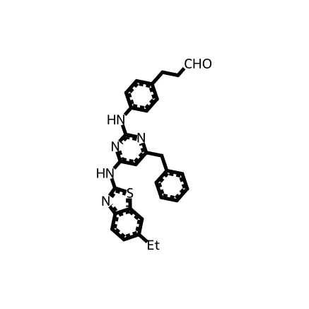 CCc1ccc2nc(Nc3cc(Cc4ccccc4)nc(Nc4ccc(CCC=O)cc4)n3)sc2c1